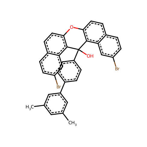 Cc1cc(C)cc(-c2ccc(C3(O)c4c(ccc5ccc(Br)cc45)Oc4ccc5ccc(Br)cc5c43)cc2)c1